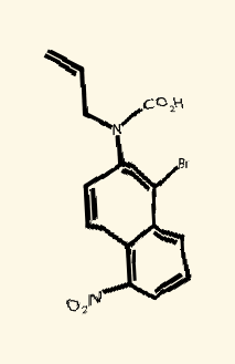 C=CCN(C(=O)O)c1ccc2c([N+](=O)[O-])cccc2c1Br